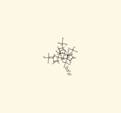 CC(C)(C)C1=CC(C(C)(C)C)([C]([Ti+3])(C2(C(C)(C)C)C=C(C(C)(C)C)N=N2)C2(C(C)(C)C)C=C(C(C)(C)C)N=N2)N=N1.[Cl-].[Cl-].[Cl-]